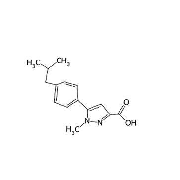 CC(C)Cc1ccc(-c2cc(C(=O)O)nn2C)cc1